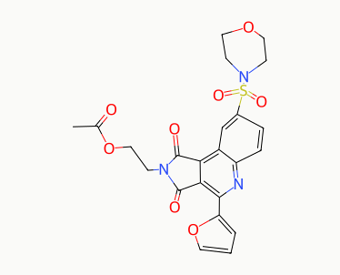 CC(=O)OCCN1C(=O)c2c(-c3ccco3)nc3ccc(S(=O)(=O)N4CCOCC4)cc3c2C1=O